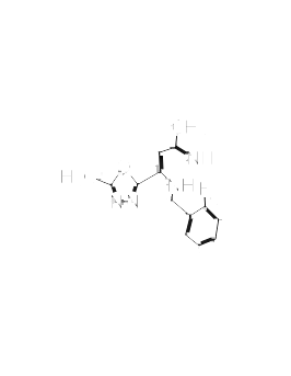 CC(=N)/C=C(\NCc1ccccc1F)c1nnc(C)o1